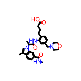 CNC(=O)c1ccc2c(C)cn(C(C)C(=O)Nc3cc(CN4CCOCC4)ccc3CCCC(=O)O)c2c1